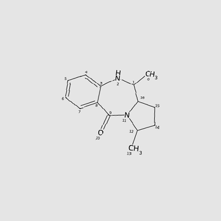 CC1Nc2ccccc2C(=O)N2C(C)CCC12